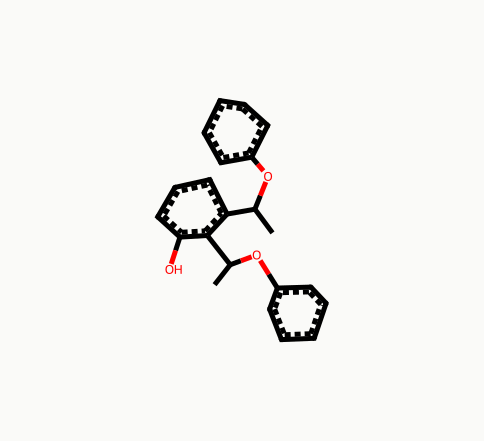 CC(Oc1ccccc1)c1cccc(O)c1C(C)Oc1ccccc1